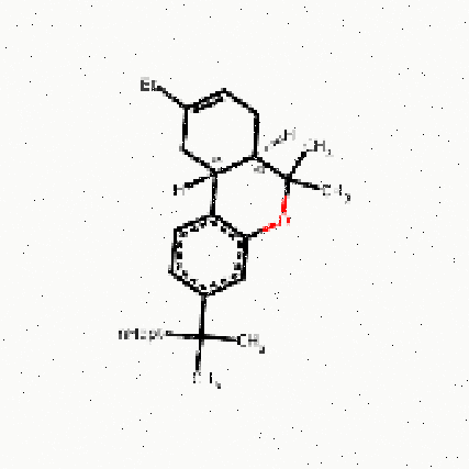 CCCCCCCC(C)(C)c1ccc2c(c1)OC(C)(C)[C@@H]1CC=C(CC)C[C@@H]21